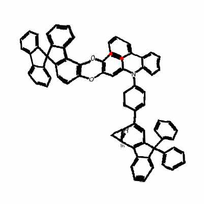 C1=C(C2=CC3=C(c4ccccc4C3(c3ccccc3)c3ccccc3)[C@@H]3CC23)CCC(N(c2ccc3c(c2)Oc2ccc4c(c2O3)-c2ccccc2C42c3ccccc3-c3ccccc32)c2ccccc2-c2ccccc2)=C1